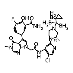 BC1(C(B)(B)N2CCN(c3cc(NC(=O)Cn4cc(C5C#CC(F)=C(O)C(C(N)=O)=C5)c5c(=O)n(C)cnc54)c(Cl)cn3)[C@@H](C)C2)CC1